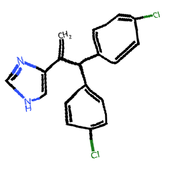 C=C(c1c[nH]cn1)C(c1ccc(Cl)cc1)c1ccc(Cl)cc1